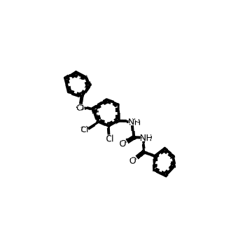 O=C(NC(=O)c1ccccc1)Nc1ccc(Oc2ccccc2)c(Cl)c1Cl